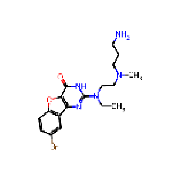 CCN(CCN(C)CCCN)c1nc2c(oc3ccc(Br)cc32)c(=O)[nH]1